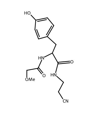 COCC(=O)NC(Cc1ccc(O)cc1)C(=O)NCCC#N